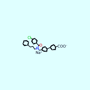 O=C([O-])c1ccc(-c2ccc(CN(CCCc3ccccc3)C(=O)c3ccc(Cl)cc3)cc2)cc1.[Na+]